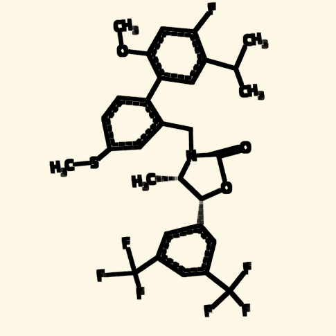 COc1cc(F)c(C(C)C)cc1-c1ccc(SC)cc1CN1C(=O)O[C@H](c2cc(C(F)(F)F)cc(C(F)(F)F)c2)[C@@H]1C